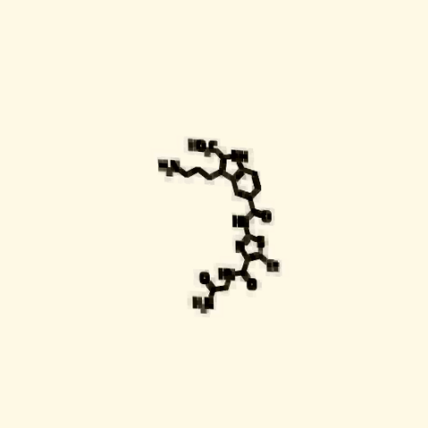 CCc1sc(NC(=O)c2ccc3[nH]c(C(=O)O)c(CCCN)c3c2)nc1C(=O)NCC(N)=O